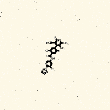 C#Cc1c(F)nc(C)c(N)c1-c1cc(Cl)c(C(=O)Nc2cnc(-n3nccn3)c(C(F)(F)F)c2)cc1F